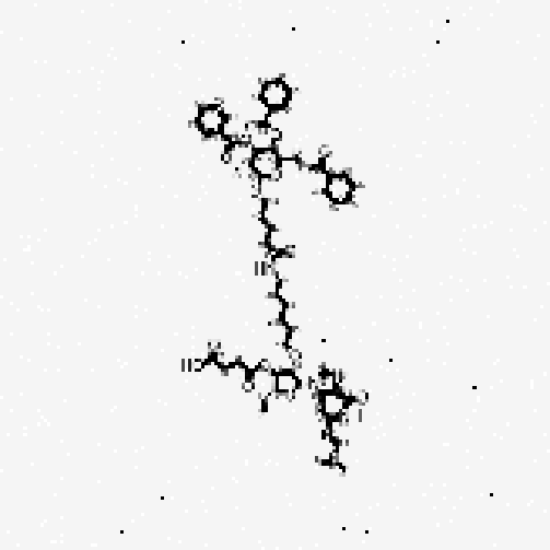 CC[C@H]1O[C@@H](n2cnc3c(=O)[nH]c(/N=C/N(C)C)nc32)[C@@H](OCCCCCCNC(=O)CCCCO[C@@H]2O[C@H](COC(=O)c3ccccc3)[C@H](OC(=O)c3ccccc3)[C@H](OC(=O)c3ccccc3)[C@H]2C)C1OC(=O)CCC(=O)O